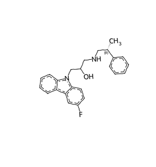 C[C@@H](CNCC(O)Cn1c2ccccc2c2cc(F)ccc21)c1ccccc1